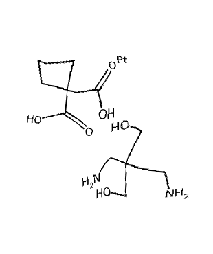 NCC(CN)(CO)CO.O=C(O)C1(C(=O)O)CCC1.[Pt]